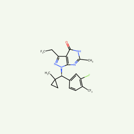 Cc1nc2c(c(CC(F)(F)F)nn2[C@@H](c2ccc(C(F)(F)F)c(F)c2)C2(C)CC2)c(=O)[nH]1